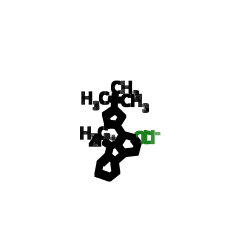 CC1=C(c2cccc3c2[CH]([Zr+2])c2ccccc2-3)CC(C(C)(C)C)=C1.[Cl-].[Cl-]